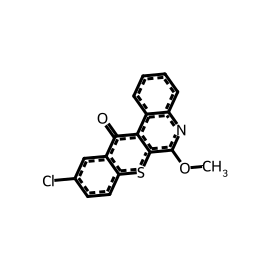 COc1nc2ccccc2c2c(=O)c3cc(Cl)ccc3sc12